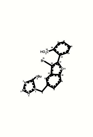 CCCCc1nnnn1Cc1ccc2oc(-c3ccccc3C(=O)O)c(Br)c2c1